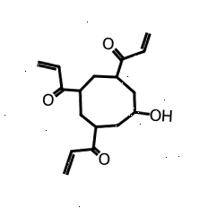 C=CC(=O)C1CC(O)CC(C(=O)C=C)CC(C(=O)C=C)C1